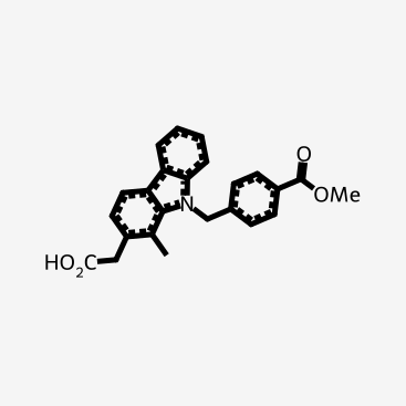 COC(=O)c1ccc(Cn2c3ccccc3c3ccc(CC(=O)O)c(C)c32)cc1